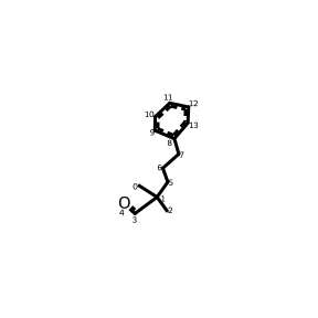 CC(C)(C=O)CCCc1ccccc1